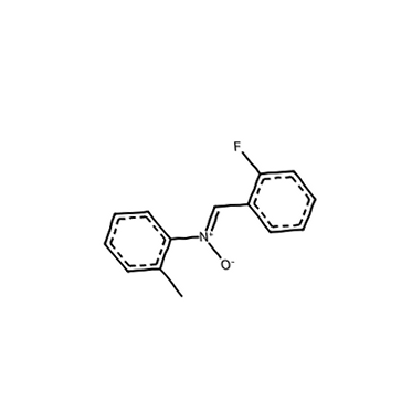 Cc1ccccc1[N+]([O-])=Cc1ccccc1F